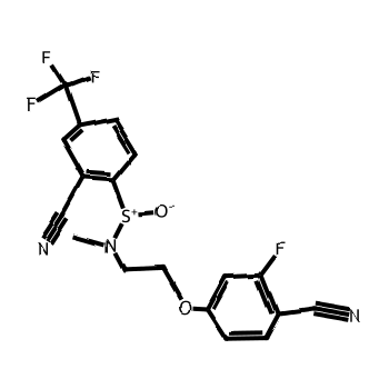 CN(CCOc1ccc(C#N)c(F)c1)[S+]([O-])c1ccc(C(F)(F)F)cc1C#N